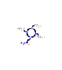 NC(=O)CCN1CCN(CC(=O)O)CCN(CC(=O)O)CCN(CC(=O)O)CC1